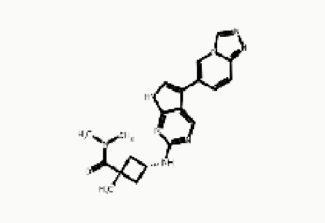 CN(C)C(=O)[C@]1(C)C[C@H](Nc2ncc3c(-c4ccc5nncn5c4)c[nH]c3n2)C1